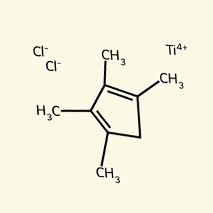 CC1=C(C)C(C)=C(C)C1.[Cl-].[Cl-].[Ti+4]